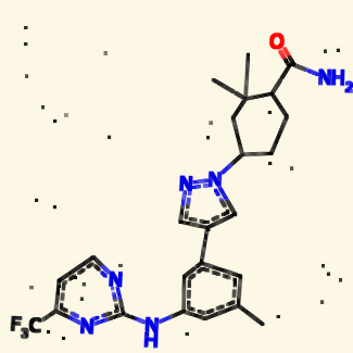 Cc1cc(Nc2nccc(C(F)(F)F)n2)cc(-c2cnn(C3CCC(C(N)=O)C(C)(C)C3)c2)c1